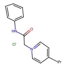 CC(C)c1cc[n+](CC(=O)Nc2ccccc2)cc1.[Cl-]